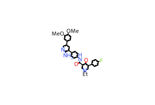 CCn1cc(C(=O)Nc2ccc(-c3cc(-c4ccc(OC)c(OC)c4)cnc3N)cc2)c(=O)c(-c2ccc(F)cc2)c1